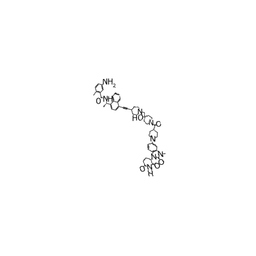 Cc1ccc(N)cc1C(=O)N[C@H](C)c1ccc(C#CC2CCN(CC3(O)CCN(C(=O)C4CCN(c5ccc6c(c5)n(C)c(=O)n6C5CCC(=O)NC5=O)CC4)CC3)CC2)c2ccccc12